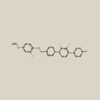 CCCCOc1ccc(OCc2ccc(-c3ccc(-c4ccc(C)cc4)c(F)c3F)cc2)c(F)c1